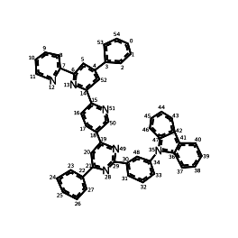 c1ccc(-c2cc(-c3ccccn3)nc(-c3ccc(-c4cc(-c5ccccc5)nc(-c5cccc(-n6c7ccccc7c7ccccc76)c5)n4)cn3)c2)cc1